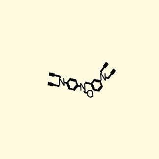 C#CCN(CC#C)c1ccc(N2COc3ccc(N(CC#C)CC#C)cc3C2)cc1